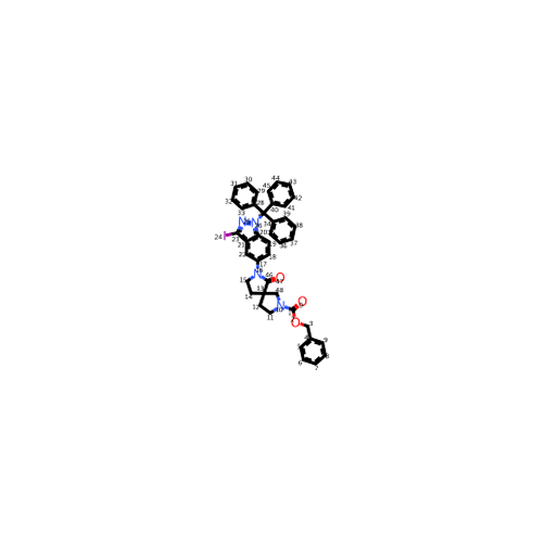 O=C(OCc1ccccc1)N1CCC2(CCN(c3ccc4c(c3)c(I)nn4C(c3ccccc3)(c3ccccc3)c3ccccc3)C2=O)C1